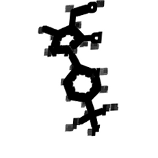 Cc1nn(-c2ccc(C(F)(F)F)cn2)c(Cl)c1C=O